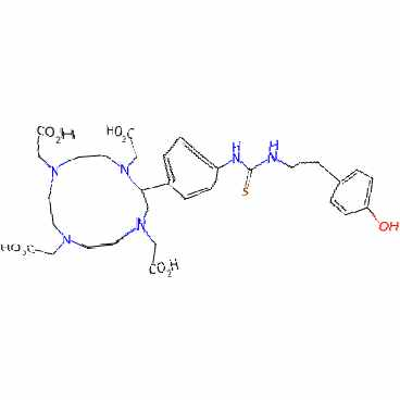 O=C(O)CN1CCN(CC(=O)O)CCN(CC(=O)O)C(c2ccc(NC(=S)NCCc3ccc(O)cc3)cc2)CN(CC(=O)O)CC1